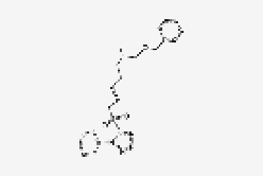 CC(CCC=CCS(=O)(=O)c1nnnn1-c1ccccc1)COCc1ccccc1